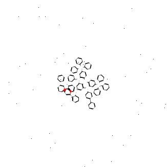 c1ccc(-c2ccc(N3c4cc([Si](c5ccccc5)(c5ccccc5)c5ccccc5)ccc4B4c5ccc([Si](c6ccccc6)(c6ccccc6)c6ccccc6)cc5N(c5cccc([Si](c6ccccc6)(c6ccccc6)c6ccccc6)c5)c5cc(-n6c7ccccc7c7ccccc76)cc3c54)cc2)cc1